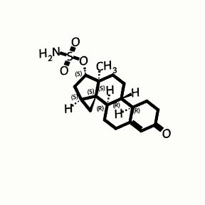 C[C@]12CC[C@H]3[C@@H](CCC4=CC(=O)CC[C@@H]43)[C@@]13C[C@H]3C[C@@H]2OS(N)(=O)=O